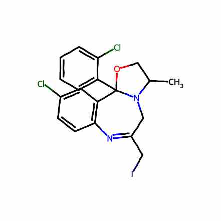 CC1COC2(c3ccccc3Cl)c3cc(Cl)ccc3N=C(CI)CN12